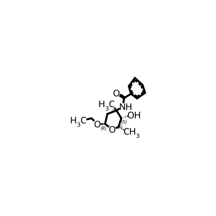 CCO[C@H]1C[C@](C)(NC(=O)c2ccccc2)[C@H](O)[C@H](C)O1